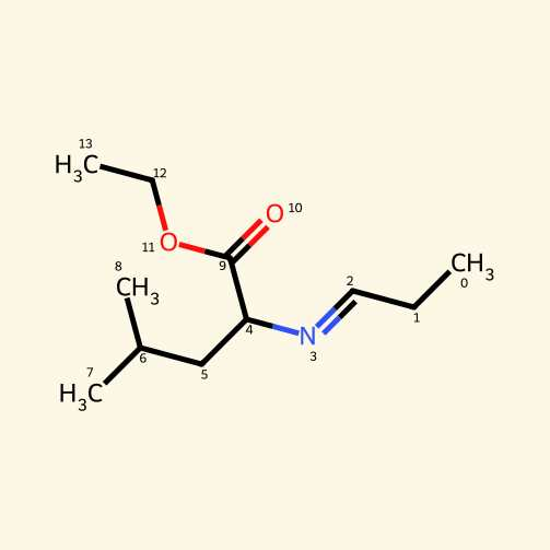 CCC=NC(CC(C)C)C(=O)OCC